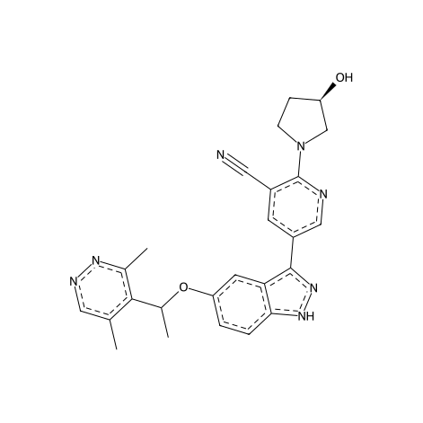 Cc1cnnc(C)c1C(C)Oc1ccc2[nH]nc(-c3cnc(N4CC[C@@H](O)C4)c(C#N)c3)c2c1